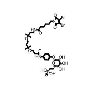 CC(C)(CCNC(=O)CCCCCN1C(=O)C(Br)=C(Br)C1=O)OCCC(C)(C)OCCC(=O)Nc1ccc(O[C@H]2O[C@H](CCP(=O)(O)O)[C@@H](O)[C@H](O)[C@@H]2O)cc1